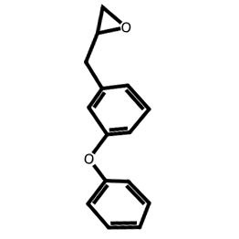 c1ccc(Oc2cccc(CC3CO3)c2)cc1